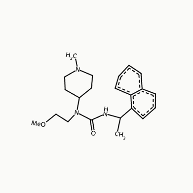 COCCN(C(=O)NC(C)c1cccc2ccccc12)C1CCN(C)CC1